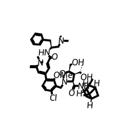 C=C(/C=C(\C=C\C(=O)N[C@@H](Cc1ccccc1)CN(C)C)c1ccc(Cl)c(CN2O[C@@H](CO)[C@@H]([C@H](C)O)[C@H]2C(=O)N[C@H]2C[C@H]3C[C@@H]([C@@H]2C)C3(C)C)c1OC)N(C)C